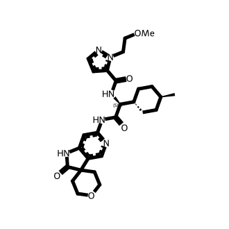 COCCn1nccc1C(=O)N[C@H](C(=O)Nc1cc2c(cn1)C1(CCOCC1)C(=O)N2)[C@H]1CC[C@H](C)CC1